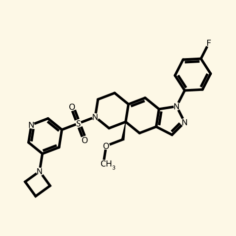 COC[C@]12Cc3cnn(-c4ccc(F)cc4)c3C=C1CCN(S(=O)(=O)c1cncc(N3CCC3)c1)C2